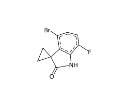 O=C1Nc2c(F)ccc(Br)c2C12CC2